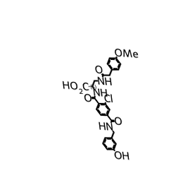 COc1ccc(CC(=O)NC[C@H](NC(=O)c2ccc(C(=O)NCc3cccc(O)c3)cc2Cl)C(=O)O)cc1